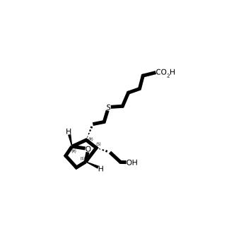 O=C(O)CCCCSCC[C@@H]1[C@H](CCO)[C@@H]2CC[C@H]1O2